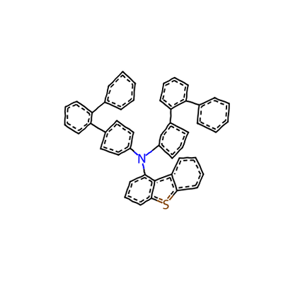 c1ccc(-c2ccccc2-c2ccc(N(c3cccc(-c4ccccc4-c4ccccc4)c3)c3cccc4sc5ccccc5c34)cc2)cc1